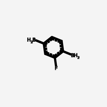 Bc1ccc(B)c(F)c1